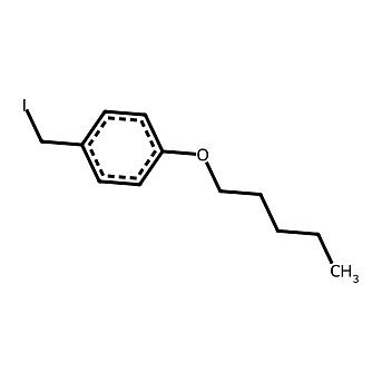 CCCCCOc1ccc(CI)cc1